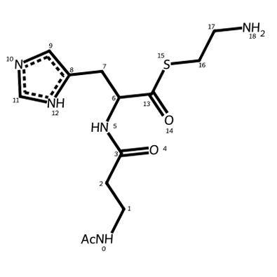 CC(=O)NCCC(=O)NC(Cc1cnc[nH]1)C(=O)SCCN